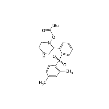 Cc1ccc(S(=O)(=O)c2ccccc2C2CNCCN2OC(=O)C(C)(C)C)c(C)c1